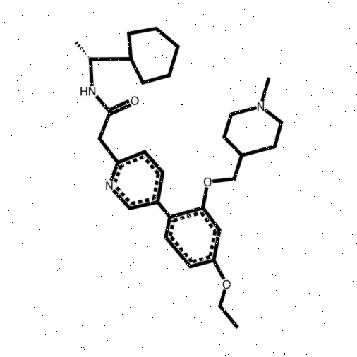 CCOc1ccc(-c2ccc(CC(=O)N[C@H](C)C3CCCCC3)nc2)c(OCC2CCN(C)CC2)c1